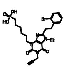 C#CCn1c(=O)c2c(nc(CCc3ccccc3Br)n2CC)n(CCCCCCP(=O)(O)O)c1=O